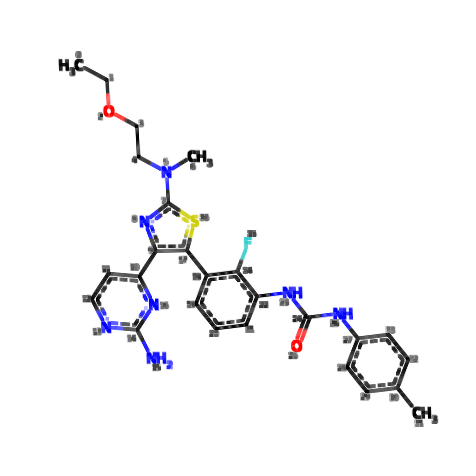 CCOCCN(C)c1nc(-c2ccnc(N)n2)c(-c2cccc(NC(=O)Nc3ccc(C)cc3)c2F)s1